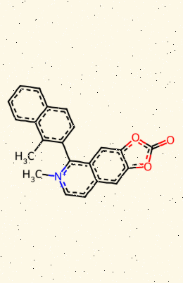 Cc1c(-c2c3cc4oc(=O)oc4cc3cc[n+]2C)ccc2ccccc12